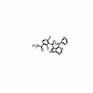 NC(=O)c1ccc(F)c(C(=O)c2c[nH]c3ncnc(Nc4cccnc4)c23)c1F